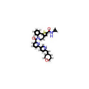 O=C(NC1CC1)c1cc2c(s1)-c1ccccc1N(C(=O)c1cccc(-c3ccc(/C=C4/CCCOCC4)nc3)n1)CC2